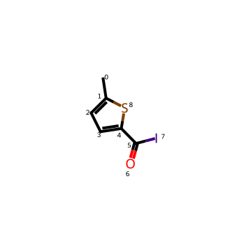 Cc1ccc(C(=O)I)s1